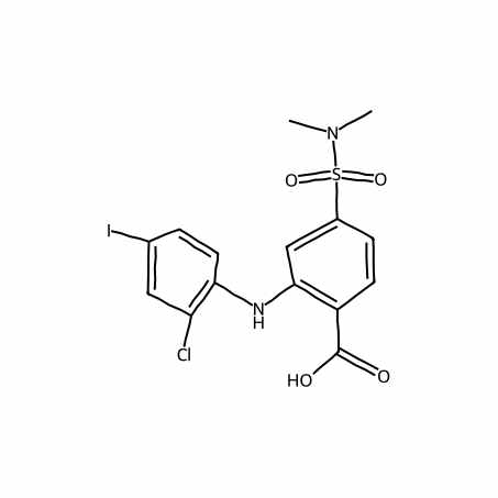 CN(C)S(=O)(=O)c1ccc(C(=O)O)c(Nc2ccc(I)cc2Cl)c1